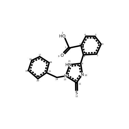 O=C(O)c1ccccc1-c1nc(=S)n(Cc2ccccc2)[nH]1